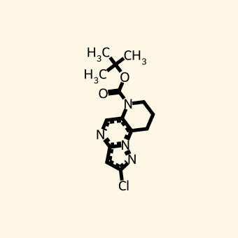 CC(C)(C)OC(=O)N1CCCc2c1cnc1cc(Cl)nn21